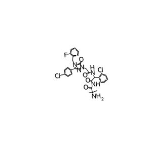 CC(C)(N)C(=O)NC(=O)C(NC(=O)Cn1nc(-c2ccc(Cl)cc2)n(Cc2ccccc2F)c1=O)c1ccccc1Cl